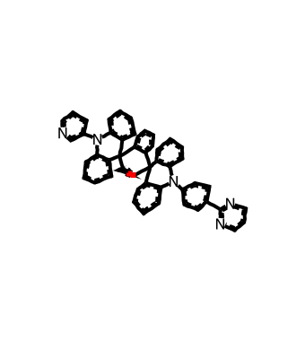 c1cnc(-c2ccc(N3c4ccccc4C4(c5ccccc53)c3ccccc3C3(c5ccccc5N(c5cccnc5)c5ccccc53)c3ccccc34)cc2)nc1